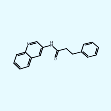 O=C(CCc1ccccc1)Nc1cnc2ccccc2c1